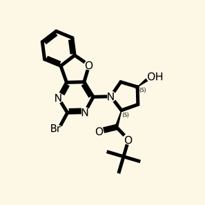 CC(C)(C)OC(=O)[C@@H]1C[C@H](O)CN1c1nc(Br)nc2c1oc1ccccc12